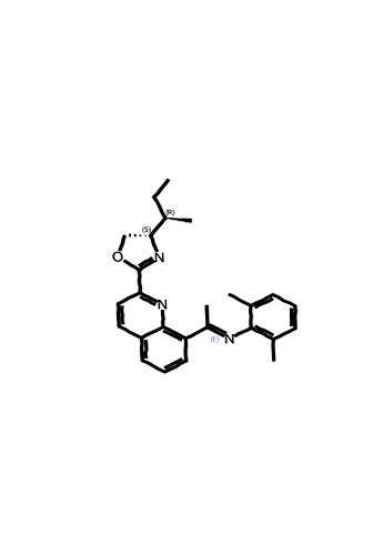 CC[C@@H](C)[C@H]1COC(c2ccc3cccc(/C(C)=N/c4c(C)cccc4C)c3n2)=N1